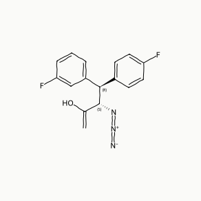 C=C(O)[C@@H](N=[N+]=[N-])[C@H](c1ccc(F)cc1)c1cccc(F)c1